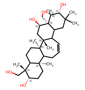 C[C@H]1[C@H](O)C(C)(C)CC2C3C=CCC4[C@@]5(C)CC[C@H](O)[C@](C)(CO)C5CC[C@@]4(C)[C@]3(C)C[C@@H](O)[C@]21CO